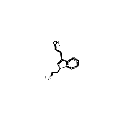 C=CCC1=CC(CC=C)c2ccccc21